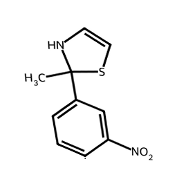 CC1(c2cc[c]c([N+](=O)[O-])c2)NC=CS1